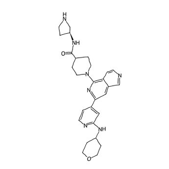 O=C(N[C@H]1CCNC1)C1CCN(c2nc(-c3ccnc(NC4CCOCC4)c3)cc3cnccc23)CC1